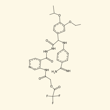 CCOc1cc(C(Nc2ccc(C(=N)N)cc2)C(=O)NNC(=O)c2ccncc2NC(=O)COC(=O)C(F)(F)F)ccc1OC(C)C